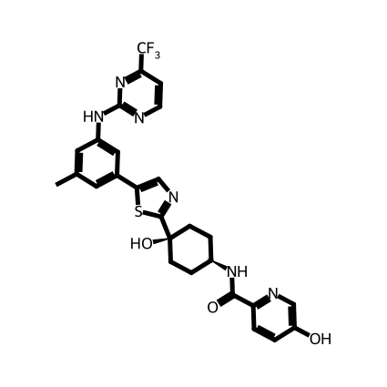 Cc1cc(Nc2nccc(C(F)(F)F)n2)cc(-c2cnc([C@]3(O)CC[C@@H](NC(=O)c4ccc(O)cn4)CC3)s2)c1